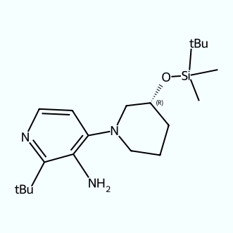 CC(C)(C)c1nccc(N2CCC[C@@H](O[Si](C)(C)C(C)(C)C)C2)c1N